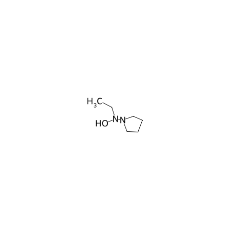 CCN(O)N1CCCC1